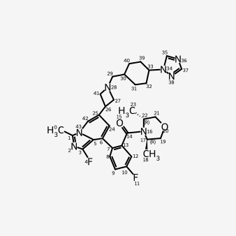 Cc1nc(F)c2c(-c3ccc(F)cc3C(=O)N3[C@H](C)COC[C@H]3C)cc(C3CN(CC4CCC(n5cncn5)CC4)C3)cn12